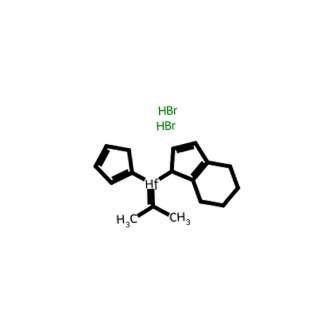 Br.Br.C[C](C)=[Hf]([C]1=CC=CC1)[CH]1C=CC2=C1CCCC2